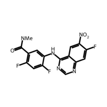 CNC(=O)c1cc(Nc2ncnc3cc(F)c([N+](=O)[O-])cc23)c(F)cc1F